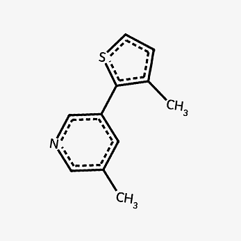 Cc1cncc(-c2sccc2C)c1